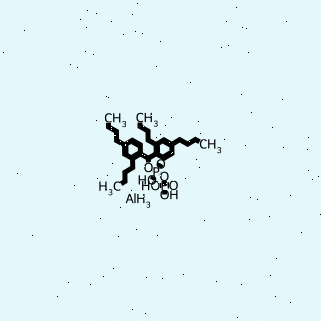 CCCCc1ccc(C(OP(=O)(O)OP(=O)(O)O)c2ccc(CCCC)cc2CCCC)c(CCCC)c1.[AlH3]